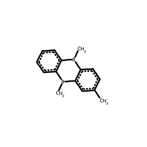 CB1c2ccccc2B(C)c2cc(C)ccc21